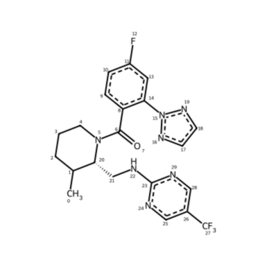 CC1CCCN(C(=O)c2ccc(F)cc2-n2nccn2)[C@@H]1CNc1ncc(C(F)(F)F)cn1